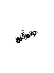 COCCCN(Cc1cc2cccc(C)c2[nH]c1=O)S(=O)(=O)c1ccc(NC(=O)N2CCOCC2)cc1